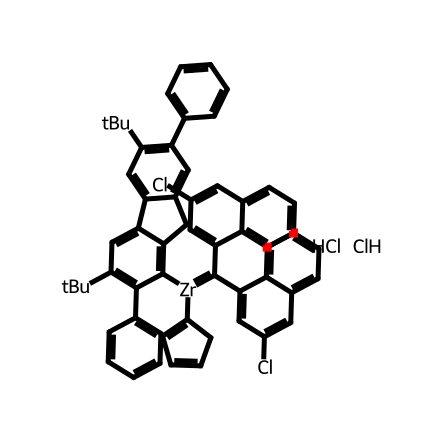 CC(C)(C)c1cc2c(cc1-c1ccccc1)Cc1c-2cc(C(C)(C)C)c(-c2ccccc2)[c]1[Zr]([C]1=CC=CC1)=[C](c1cc(Cl)cc2ccccc12)c1cc(Cl)cc2ccccc12.Cl.Cl